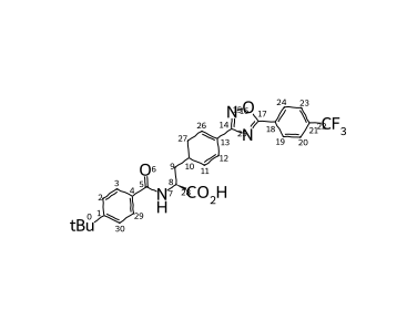 CC(C)(C)c1ccc(C(=O)N[C@@H](CC2C=CC(c3noc(-c4ccc(C(F)(F)F)cc4)n3)=CC2)C(=O)O)cc1